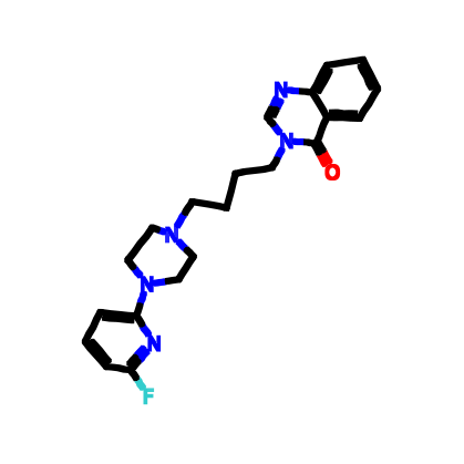 O=c1c2ccccc2ncn1CCCCN1CCN(c2cccc(F)n2)CC1